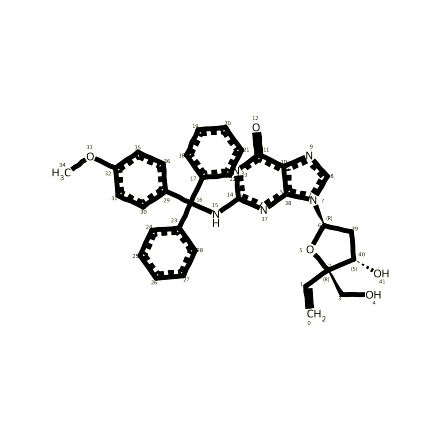 C=C[C@]1(CO)O[C@@H](n2cnc3c(=O)[nH]c(NC(c4ccccc4)(c4ccccc4)c4ccc(OC)cc4)nc32)C[C@@H]1O